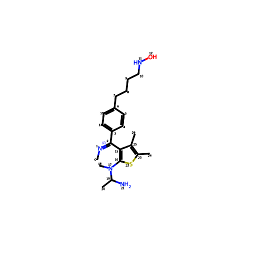 C/N=C(/c1ccc(CCCCNO)cc1)c1c(N(C)C(C)N)sc(C)c1C